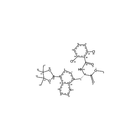 COC(=O)[C@H](Cc1ccc(B2OC(C)(C)C(C)(C)O2)c2cccnc12)NC(=O)c1c(Cl)cccc1Cl